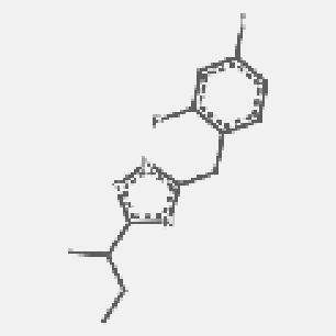 CCC(C)c1nc(Cc2ccc(F)cc2F)ns1